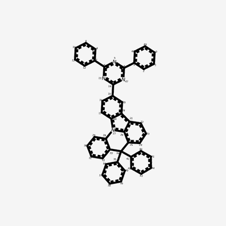 c1ccc(-c2nc(-c3ccccc3)nc(-c3ccc4c(c3)c3cccc5c3n4-c3ccccc3C5(c3ccccc3)c3ccccc3)n2)cc1